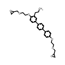 CCCc1cc(-c2ccc(-c3ccc(OCCOCC4CO4)cc3)cc2)ccc1OCCOCC1CO1